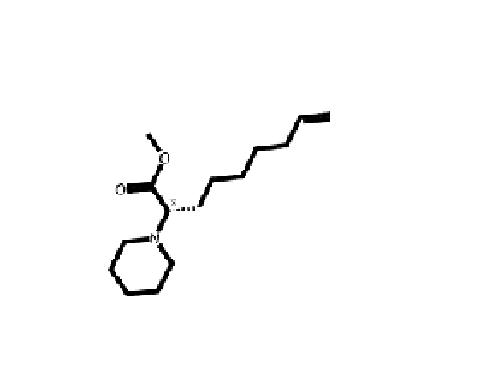 C=CCCCCC[C@@H](C(=O)OC)N1CCCCC1